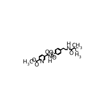 COC(=O)c1ccc(C(=O)NS(=O)(=O)c2ccc(CCNC(=O)C(C)C)cc2)cn1